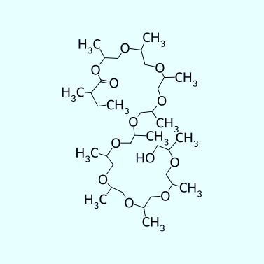 CCC(C)C(=O)OC(C)COC(C)COC(C)COC(C)COC(C)COC(C)COC(C)COC(C)COC(C)COC(C)CO